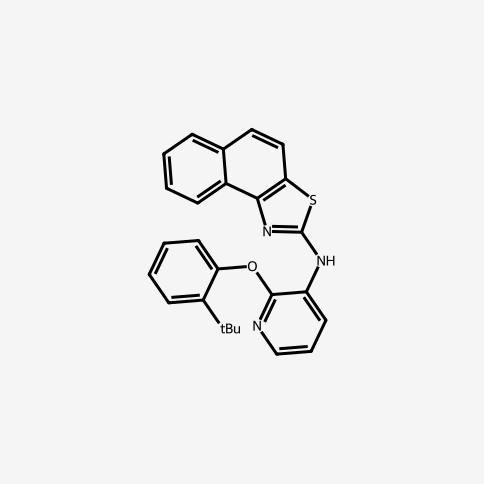 CC(C)(C)c1ccccc1Oc1ncccc1Nc1nc2c(ccc3ccccc32)s1